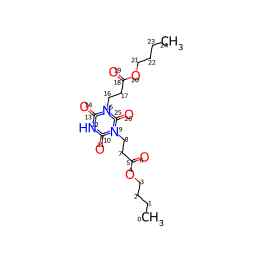 CCCCOC(=O)CCn1c(=O)[nH]c(=O)n(CCC(=O)OCCCC)c1=O